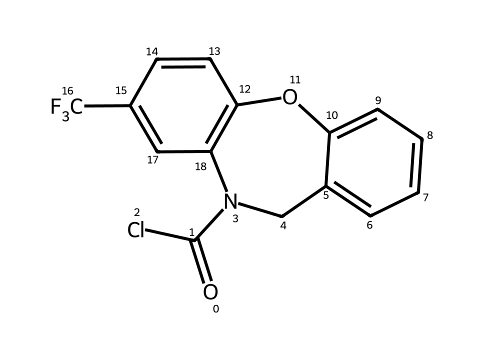 O=C(Cl)N1Cc2ccccc2Oc2ccc(C(F)(F)F)cc21